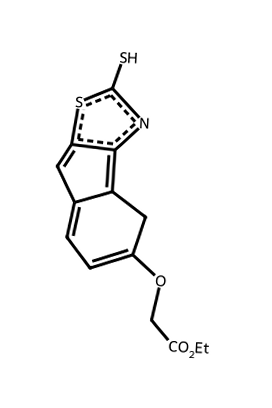 CCOC(=O)COC1=CC=C2C=c3sc(S)nc3=C2C1